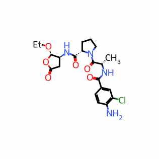 CCO[C@H]1OC(=O)C[C@@H]1NC(=O)[C@@H]1CCCN1C(=O)[C@H](C)NC(=O)c1ccc(N)c(Cl)c1